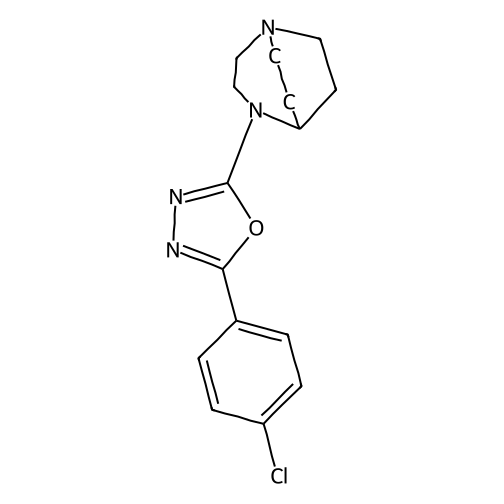 Clc1ccc(-c2nnc(N3CCN4CCC3CC4)o2)cc1